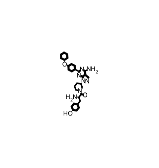 Nc1nc(-c2ccc(Oc3ccccc3)cc2)nc2c1cnn2[C@@H]1CCCN(C(=O)[C@H](N)Cc2ccc(O)cc2)C1